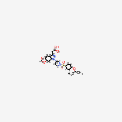 CC(C)Oc1ccc(S(=O)(=O)N2CC[C@@H](n3nc(CC(=O)O)c4cc5c(cc43)OCO5)C2)cc1